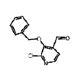 O=Cc1ccnc(Cl)c1OCc1ccccc1